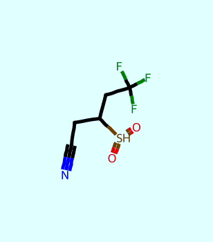 N#CCC(CC(F)(F)F)[SH](=O)=O